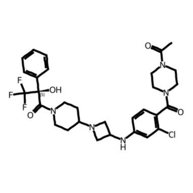 CC(=O)N1CCN(C(=O)c2ccc(NC3CN(C4CCN(C(=O)[C@@](O)(c5ccccc5)C(F)(F)F)CC4)C3)cc2Cl)CC1